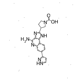 Nc1nc2cc(-c3cc[nH]n3)ccc2c2[nH]c(C3CCN(C(=O)O)C3)nc12